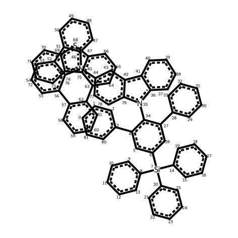 c1ccc(-c2cc([Si](c3ccccc3)(c3ccccc3)c3ccccc3)cc(-c3ccccc3)c2-n2c3ccccc3c3cc(-n4c5ccccc5c5cccc(-c6ccccc6-c6cccc7sc8ccccc8c67)c54)ccc32)cc1